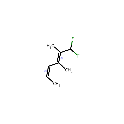 C/C=C\C(C)=C(/C)C(F)F